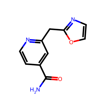 NC(=O)c1ccnc(Cc2ncco2)c1